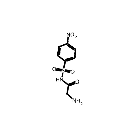 NCC(=O)NS(=O)(=O)c1ccc([N+](=O)[O-])cc1